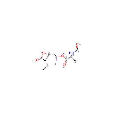 CC[C@@H]1C(=O)O[C@H]1C[C@H](I)OC(=O)[C@H](C)NC=O